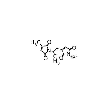 CC1=CC(=O)N(C(C)CC2=CC(=O)N(C(C)C)C2=O)C1=O